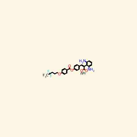 CCCOC(=O)C(=Cc1ccc(OC(=O)c2ccc(OCCCC(F)(F)C(F)(F)F)cc2)cc1)c1c(N)cccc1N